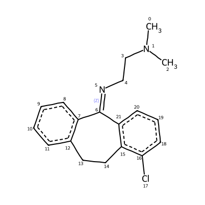 CN(C)CC/N=C1/c2ccccc2CCc2c(Cl)cccc21